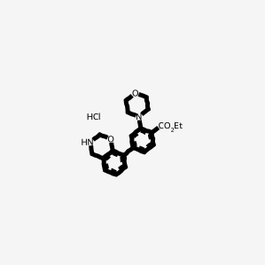 CCOC(=O)c1ccc(-c2cccc3c2OCNC3)cc1N1CCOCC1.Cl